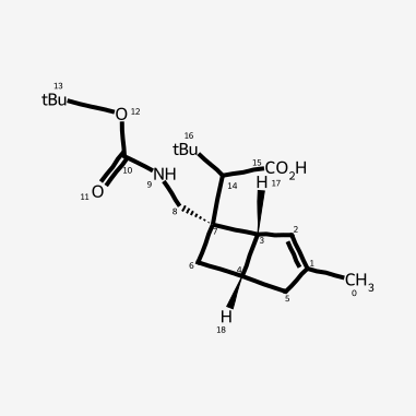 CC1=C[C@@H]2[C@H](C1)C[C@@]2(CNC(=O)OC(C)(C)C)C(C(=O)O)C(C)(C)C